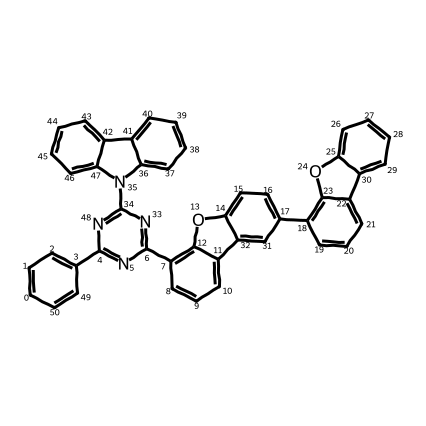 c1ccc(-c2nc(-c3cccc4c3oc3ccc(-c5cccc6c5oc5ccccc56)cc34)nc(-n3c4ccccc4c4ccccc43)n2)cc1